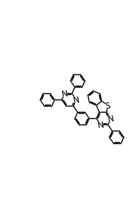 c1ccc(-c2cc(-c3cccc(-c4nc(-c5ccccc5)nc5sc6ccccc6c45)c3)nc(-c3ccccc3)n2)cc1